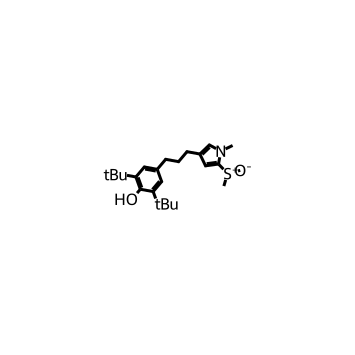 Cn1cc(CCCc2cc(C(C)(C)C)c(O)c(C(C)(C)C)c2)cc1[S+](C)[O-]